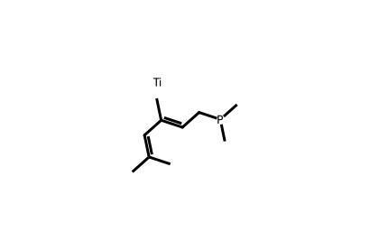 CC(C)=CC(C)=CCP(C)C.[Ti]